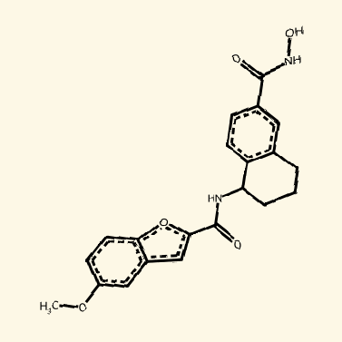 COc1ccc2oc(C(=O)NC3CCCc4cc(C(=O)NO)ccc43)cc2c1